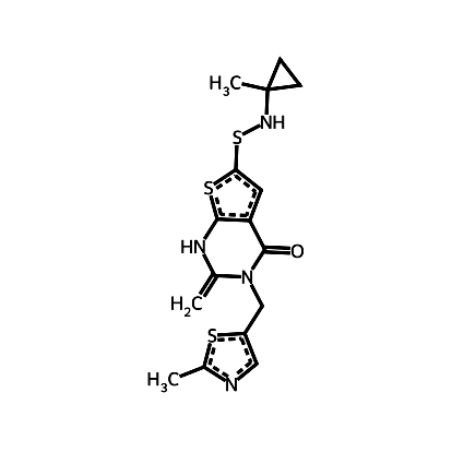 C=C1Nc2sc(SNC3(C)CC3)cc2C(=O)N1Cc1cnc(C)s1